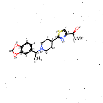 CNC(=O)c1csc(C2CCN(C(C)c3ccc4c(c3)OCO4)CC2)n1